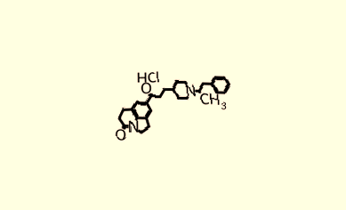 CC(Cc1ccccc1)N1CCC(CCC(=O)c2cc3c4c(c2)CCN4C(=O)CC3)CC1.Cl